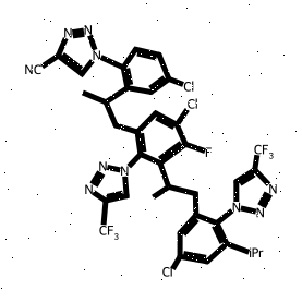 CC(C)c1cc(Cl)cc(CC(C)c2c(F)c(Cl)cc(CC(C)c3cc(Cl)ccc3-n3cc(C#N)nn3)c2-n2cc(C(F)(F)F)nn2)c1-n1cc(C(F)(F)F)nn1